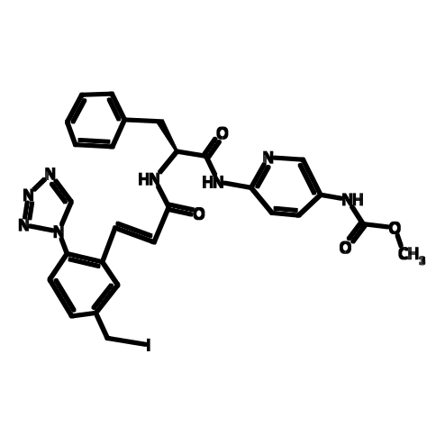 COC(=O)Nc1ccc(NC(=O)[C@H](Cc2ccccc2)NC(=O)/C=C/c2cc(CI)ccc2-n2cnnn2)nc1